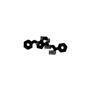 OC(CNc1ncnc2c1ccn2Cc1ccccc1)c1ccccc1